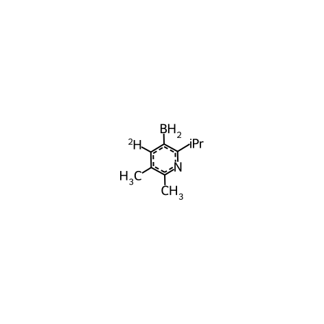 [2H]c1c(B)c(C(C)C)nc(C)c1C